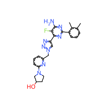 Cc1cccc(-c2nc(N)c(F)c(-c3cn(Cc4cccc(N5CCC(O)C5)n4)nn3)n2)c1C